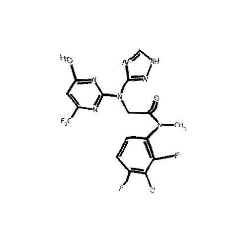 CN(C(=O)CN(c1nc[nH]n1)c1nc(O)cc(C(F)(F)F)n1)c1ccc(F)c(Cl)c1F